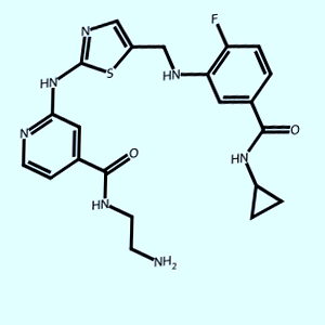 NCCNC(=O)c1ccnc(Nc2ncc(CNc3cc(C(=O)NC4CC4)ccc3F)s2)c1